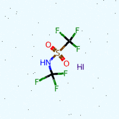 I.O=S(=O)(NC(F)(F)F)C(F)(F)F